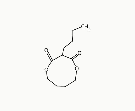 CCCCC1C(=O)OCCCCOC1=O